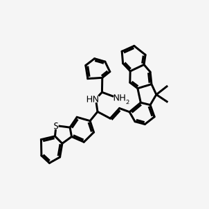 CC1(C)c2cc3ccccc3cc2-c2c(/C=C/C(NC(N)c3ccccc3)c3ccc4c(c3)sc3ccccc34)cccc21